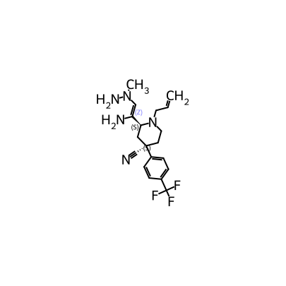 C=CCN1CC[C@@](C#N)(c2ccc(C(F)(F)F)cc2)C[C@H]1/C(N)=C/N(C)N